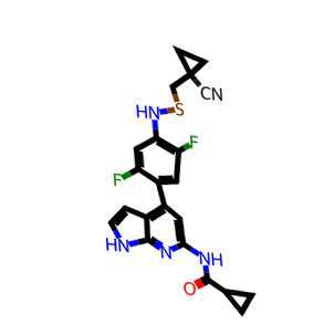 N#CC1(CSNc2cc(F)c(-c3cc(NC(=O)C4CC4)nc4[nH]ccc34)cc2F)CC1